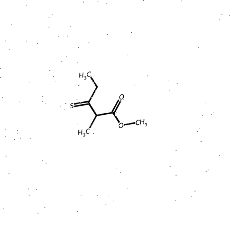 CCC(=S)C(C)C(=O)OC